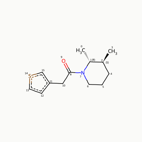 C[C@@H]1[C@@H](C)CCCN1C(=O)Cc1ccsc1